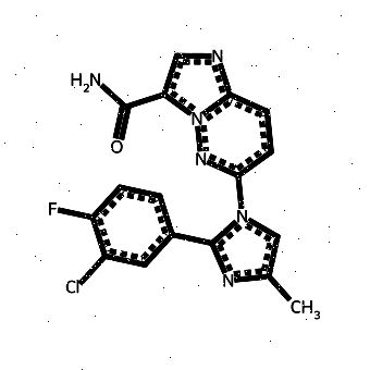 Cc1cn(-c2ccc3ncc(C(N)=O)n3n2)c(-c2ccc(F)c(Cl)c2)n1